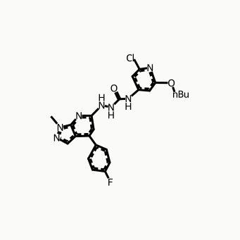 CCCCOc1cc(NC(=O)NNc2cc(-c3ccc(F)cc3)c3cnn(C)c3n2)cc(Cl)n1